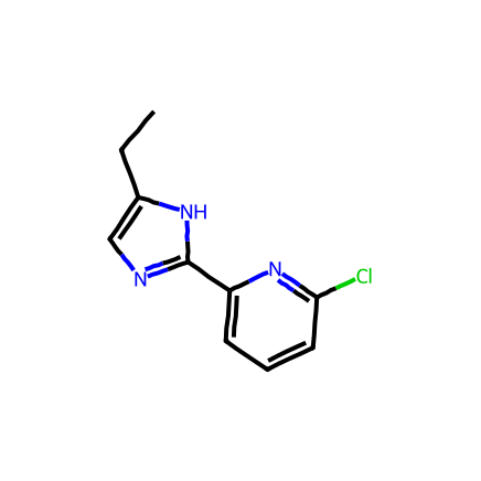 CCc1cnc(-c2cccc(Cl)n2)[nH]1